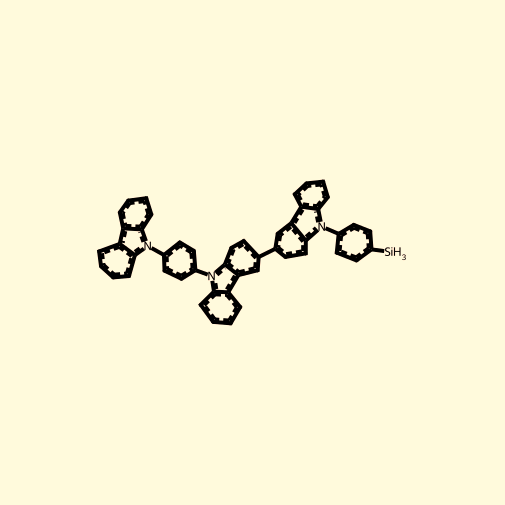 [SiH3]c1ccc(-n2c3ccccc3c3cc(-c4ccc5c(c4)c4ccccc4n5-c4ccc(-n5c6ccccc6c6ccccc65)cc4)ccc32)cc1